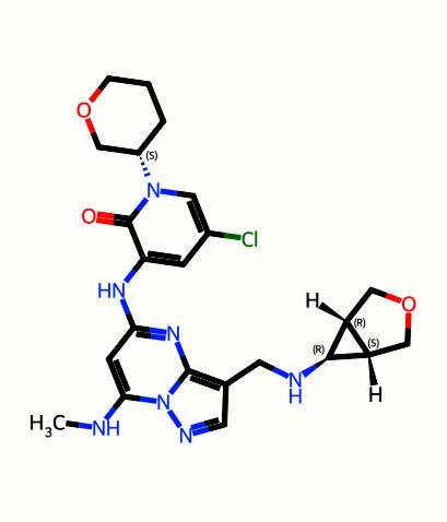 CNc1cc(Nc2cc(Cl)cn([C@H]3CCCOC3)c2=O)nc2c(CN[C@H]3[C@@H]4COC[C@@H]43)cnn12